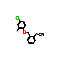 Cc1cc(Cl)ccc1OCc1ccccc1CC#N